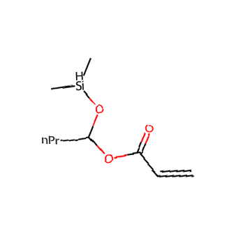 C=CC(=O)OC(CCC)O[SiH](C)C